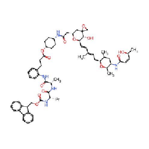 CC(/C=C/[C@H]1O[C@H](CC(=O)N[C@H]2CC[C@@H](OC(=O)CCc3ccccc3NC(=O)[C@H](C)NC(=O)[C@@H](NC(=O)OCC3c4ccccc4-c4ccccc43)C(C)C)CC2)C[C@@]2(CO2)[C@@H]1O)=C\C[C@@H]1O[C@H](C)C(NC(=O)/C=C\[C@H](C)O)C[C@@H]1C